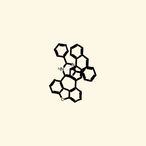 c1ccc(C2=NC(c3ccccc3)NC(c3cccc4oc5cccc(-c6ccc7c(ccc8ccccc87)c6)c5c34)=N2)cc1